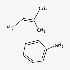 CC=C(C)C.Nc1ccccc1